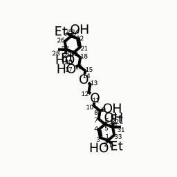 CCC1(O)C=CC(O)(CC(O)COCCOCC(O)CC2(O)C=CC(O)(CC)CC2(C)CC)C(C)(CC)C1